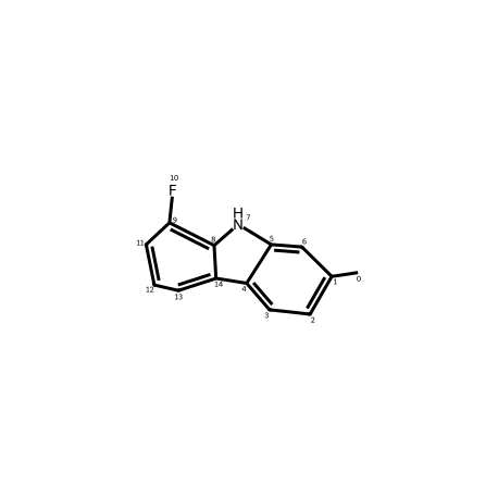 Cc1ccc2c(c1)[nH]c1c(F)cccc12